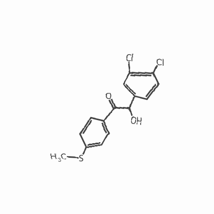 CSc1ccc(C(=O)C(O)c2ccc(Cl)c(Cl)c2)cc1